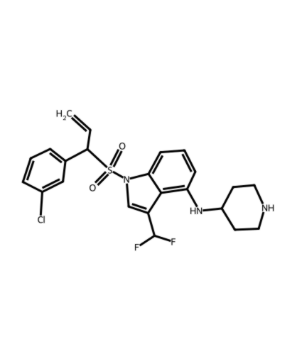 C=CC(c1cccc(Cl)c1)S(=O)(=O)n1cc(C(F)F)c2c(NC3CCNCC3)cccc21